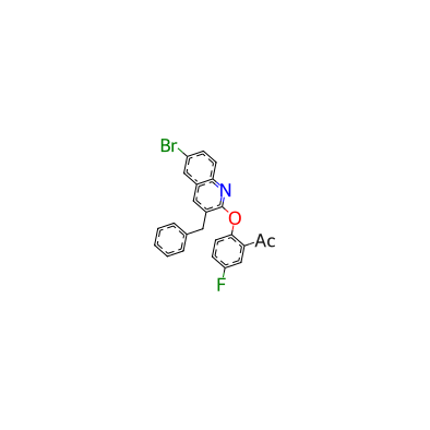 CC(=O)c1cc(F)ccc1Oc1nc2ccc(Br)cc2cc1Cc1ccccc1